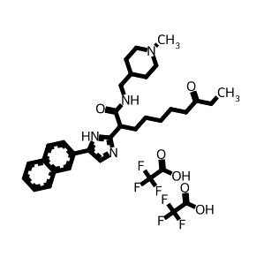 CCC(=O)CCCCCC(C(=O)NCC1CCN(C)CC1)c1ncc(-c2ccc3ccccc3c2)[nH]1.O=C(O)C(F)(F)F.O=C(O)C(F)(F)F